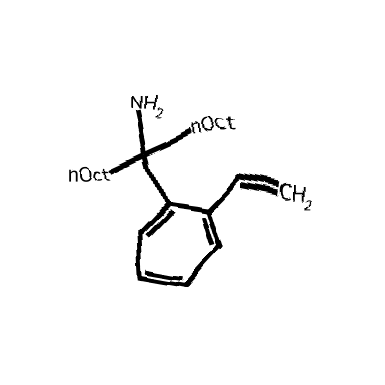 C=Cc1ccccc1C(N)(CCCCCCCC)CCCCCCCC